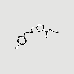 CC(C)(C)OC(=O)N1CCC(CNCc2ccc(Cl)cc2)C1